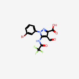 O=Cc1c(C(=O)O)nn(-c2cccc(Br)c2)c1NC(=O)C(F)(F)F